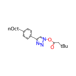 CCCCCCCCc1ccc(-c2cn(OC(=O)CC(C)(C)C)nn2)cc1